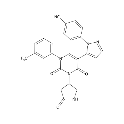 N#Cc1ccc(-n2nccc2-c2cn(-c3cccc(C(F)(F)F)c3)c(=O)n(C3CNC(=O)C3)c2=O)cc1